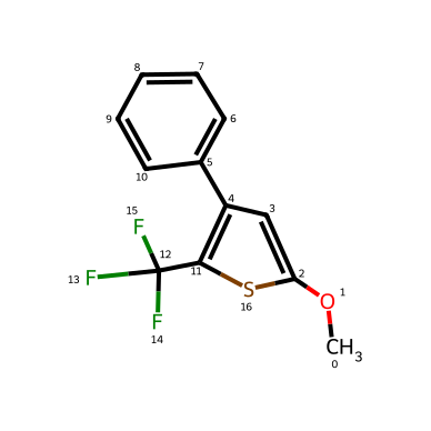 COc1cc(-c2ccccc2)c(C(F)(F)F)s1